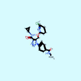 CCNC(=O)c1ccc(-n2nnc(C(=O)NC3CC3)c2COc2cccc(Cl)n2)cc1